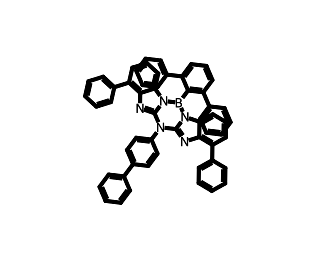 c1ccc(-c2ccc(N3c4nc5c(-c6ccccc6)cccc5n4B(c4c(-c5ccccc5)cccc4-c4ccccc4)n4c3nc3c(-c5ccccc5)cccc34)cc2)cc1